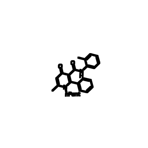 CCCCCn1c(C)cc(=O)c(C(=O)Nc2ccccc2C)c1-c1ccccc1